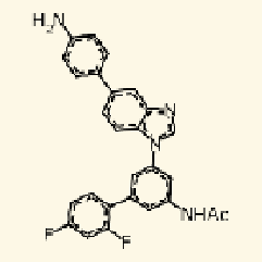 CC(=O)Nc1cc(-c2ccc(F)cc2F)cc(-n2cnc3cc(-c4ccc(N)cc4)ccc32)c1